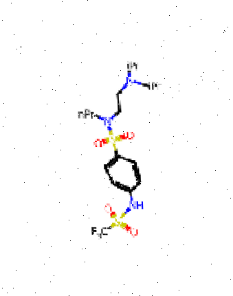 CCCN(CCN(C(C)C)C(C)C)S(=O)(=O)c1ccc(NS(=O)(=O)C(F)(F)F)cc1